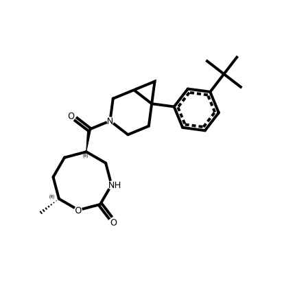 C[C@@H]1CC[C@@H](C(=O)N2CCC3(c4cccc(C(C)(C)C)c4)CC3C2)CNC(=O)O1